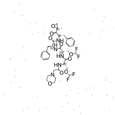 C[C@@]1(C(=O)[C@H](Cc2ccccc2)NC(=O)[C@H](Cc2ccccc2)NC(=O)[C@H](COC(F)F)NC(=O)[C@H](COC(F)F)NC(=O)CN2CCOCC2)CO1